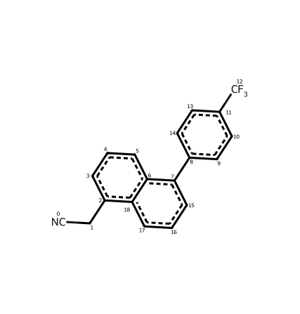 N#CCc1cccc2c(-c3ccc(C(F)(F)F)cc3)cccc12